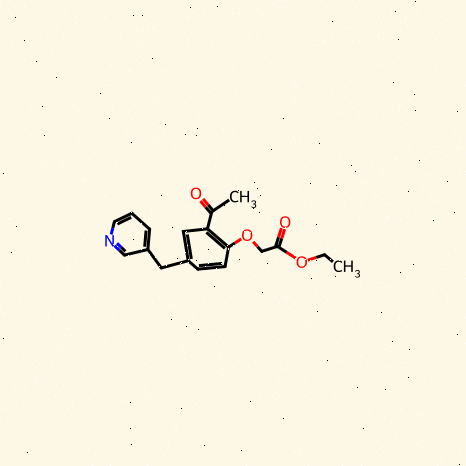 CCOC(=O)COc1ccc(Cc2cccnc2)cc1C(C)=O